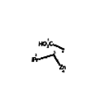 CC(=O)O.CC(C)[CH2][Zn]